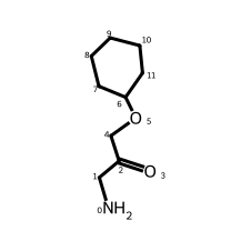 NCC(=O)COC1CCCCC1